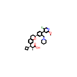 COc1cc(-c2ccc([C@@H]3CCc4ccc([C@H](C5CCC5)[C@H](C)C(=O)O)cc4O3)cc2CN2CCCCC2)c(F)cn1